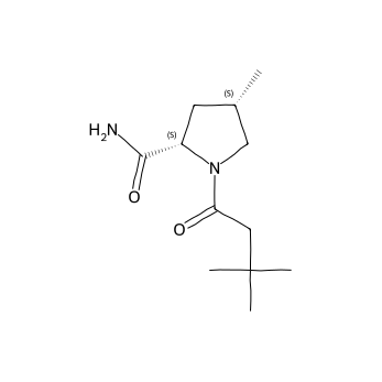 C[C@H]1C[C@@H](C(N)=O)N(C(=O)CC(C)(C)C)C1